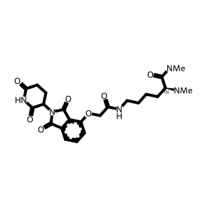 CNC(=O)[C@H](CCCCNC(=O)COc1cccc2c1C(=O)N(C1CCC(=O)NC1=O)C2=O)NC